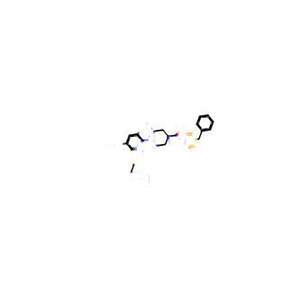 CCOC(=O)c1cc(C#N)c(N2CCC(C(=O)NS(=O)(=O)Cc3ccccc3)CC2)nc1SCCO